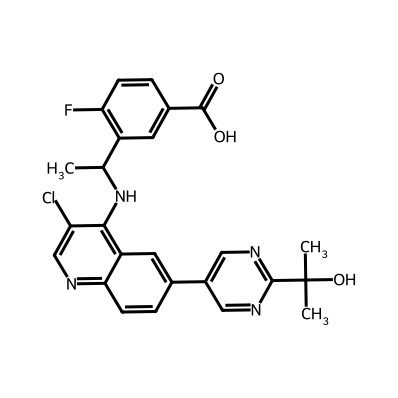 CC(Nc1c(Cl)cnc2ccc(-c3cnc(C(C)(C)O)nc3)cc12)c1cc(C(=O)O)ccc1F